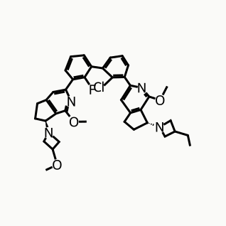 CCC1CN([C@@H]2CCc3cc(-c4cccc(-c5cccc(-c6cc7c(c(OC)n6)[C@@H](N6CC(OC)C6)CC7)c5F)c4Cl)nc(OC)c32)C1